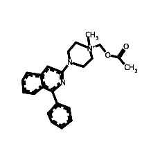 CC(=O)OC[N+]1(C)CCN(c2cc3ccccc3c(-c3ccccc3)n2)CC1